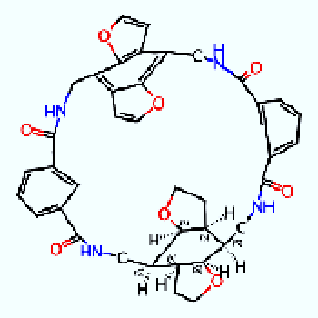 O=C1NCc2c3ccoc3c(c3ccoc23)CNC(=O)c2cccc(c2)C(=O)NC[C@@H]2[C@@H]3CCO[C@@H]3[C@H](CNC(=O)c3cccc1c3)[C@@H]1CCO[C@H]21